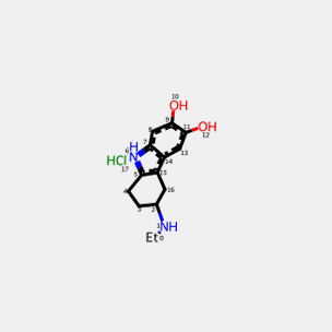 CCNC1CCc2[nH]c3cc(O)c(O)cc3c2C1.Cl